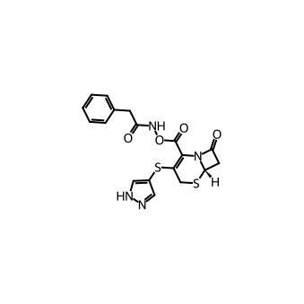 O=C(Cc1ccccc1)NOC(=O)C1=C(Sc2cn[nH]c2)CS[C@H]2CC(=O)N12